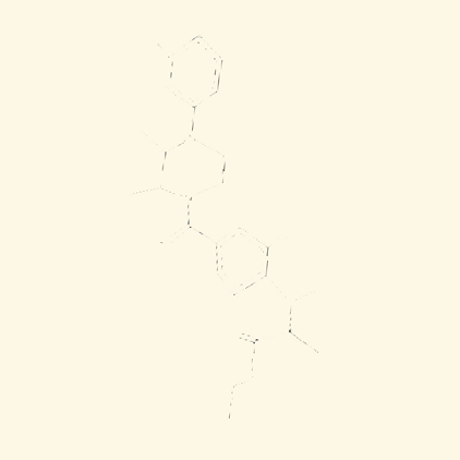 CCOC(=O)C(C)[S+]([O-])c1ccc(C(=O)N2CCN(c3cccc(Cl)c3)C(C)C2C)cc1Cl